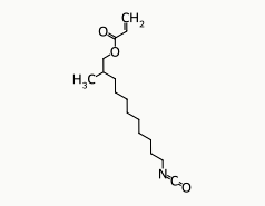 C=CC(=O)OCC(C)CCCCCCCCCN=C=O